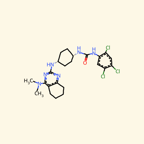 CN(C)c1nc(N[C@H]2CC[C@@H](NC(=O)Nc3cc(Cl)c(Cl)cc3Cl)CC2)nc2c1CCCC2